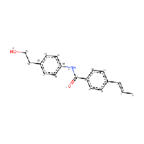 C/C=C/c1ccc(C(=O)Nc2ccc(CCO)cc2)cc1